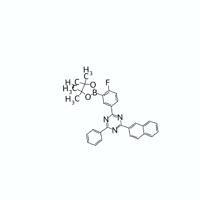 CC1(C)OB(c2cc(-c3nc(-c4ccccc4)nc(-c4ccc5ccccc5c4)n3)ccc2F)OC1(C)C